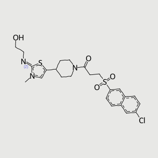 Cn1cc(C2CCN(C(=O)CCS(=O)(=O)c3ccc4cc(Cl)ccc4c3)CC2)s/c1=N\CCO